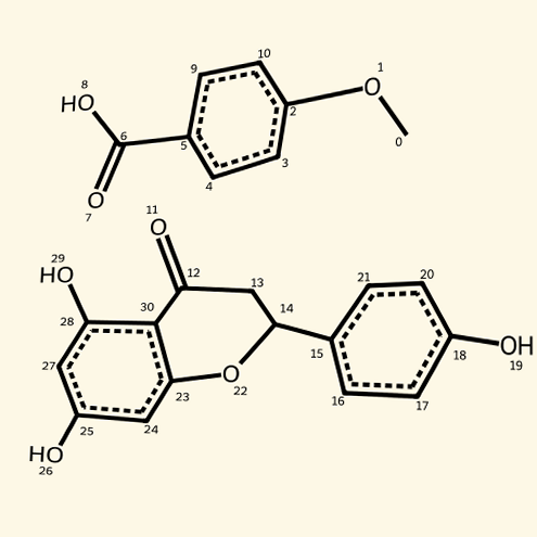 COc1ccc(C(=O)O)cc1.O=C1CC(c2ccc(O)cc2)Oc2cc(O)cc(O)c21